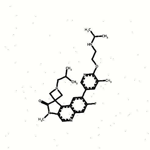 Cc1cc(-c2cc3c4c(cnc3cc2F)N(C)C(=O)C42CN(CC(C)C)C2)cnc1OCCNC(C)C